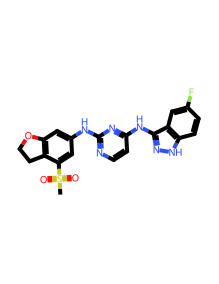 CS(=O)(=O)c1cc(Nc2nccc(Nc3n[nH]c4ccc(F)cc34)n2)cc2c1CCO2